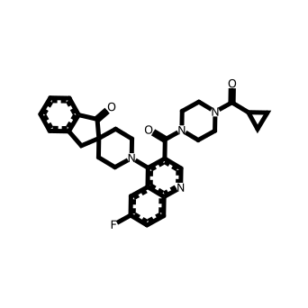 O=C(c1cnc2ccc(F)cc2c1N1CCC2(CC1)Cc1ccccc1C2=O)N1CCN(C(=O)C2CC2)CC1